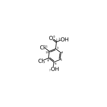 O=C(O)c1ccc(O)c(Cl)c1Cl